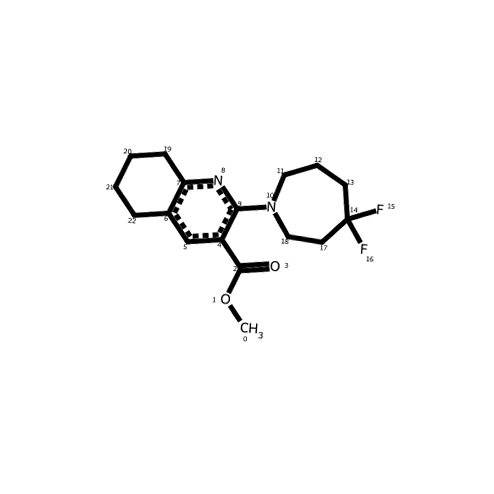 COC(=O)c1cc2c(nc1N1CCCC(F)(F)CC1)CCCC2